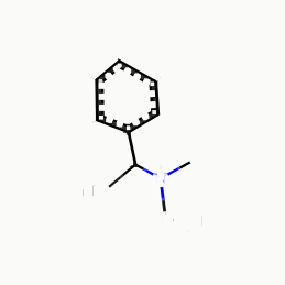 CCCC(c1ccccc1)N(C)C(=O)O